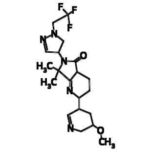 COC1CN=CC(C2CCC3C(=O)N(C4C=NN(CC(F)(F)F)C4)C(C)(C)C3=N2)C1